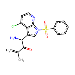 C=C(C)C(=O)C(N)c1cn(S(=O)(=O)c2ccccc2)c2nccc(Cl)c12